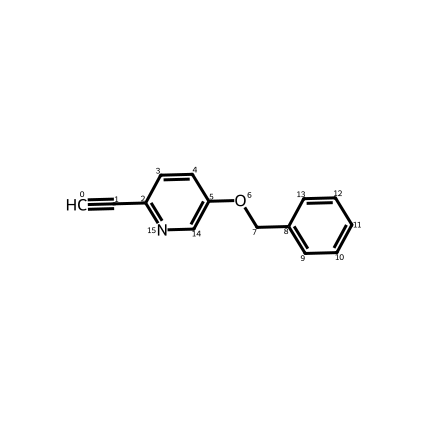 C#Cc1ccc(OCc2ccccc2)cn1